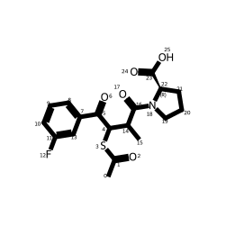 CC(=O)SC(C(=O)c1cccc(F)c1)C(C)C(=O)N1CCC[C@@H]1C(=O)O